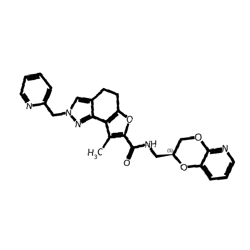 Cc1c(C(=O)NC[C@H]2COc3ncccc3O2)oc2c1-c1nn(Cc3ccccn3)cc1CC2